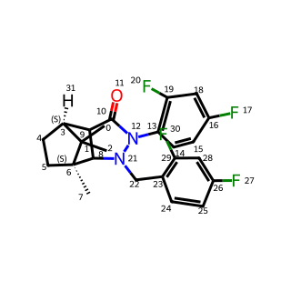 CC1(C)[C@H]2CC[C@]1(C)C1C2C(=O)N(c2ccc(F)cc2F)N1Cc1ccc(F)cc1F